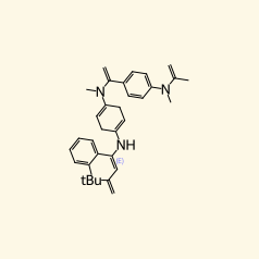 C=C(c1ccc(N(C)C(=C)C)cc1)N(C)C1=CCC(N/C(=C/C(=C)C(C)(C)C)c2ccccc2C)=CC1